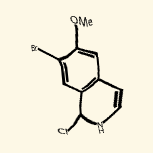 COc1cc2c(cc1Br)C(Cl)NC=C2